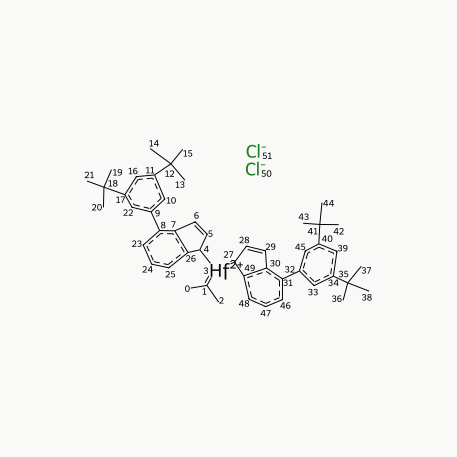 C[C](C)=[Hf+2]([CH]1C=Cc2c(-c3cc(C(C)(C)C)cc(C(C)(C)C)c3)cccc21)[CH]1C=Cc2c(-c3cc(C(C)(C)C)cc(C(C)(C)C)c3)cccc21.[Cl-].[Cl-]